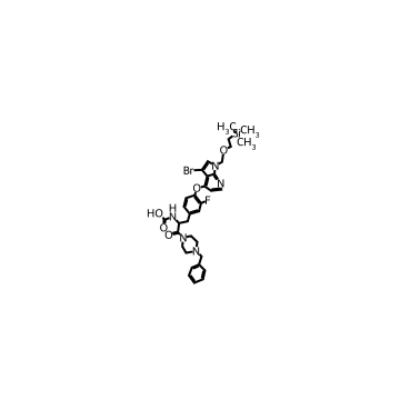 C[Si](C)(C)CCOCn1cc(Br)c2c(Oc3ccc(CC(NC(=O)O)C(=O)N4CCN(Cc5ccccc5)CC4)cc3F)ccnc21